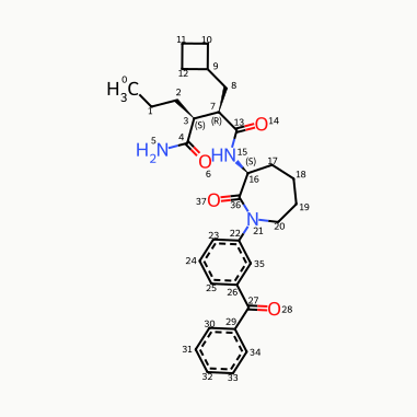 CCC[C@H](C(N)=O)[C@@H](CC1CCC1)C(=O)N[C@H]1CCCCN(c2cccc(C(=O)c3ccccc3)c2)C1=O